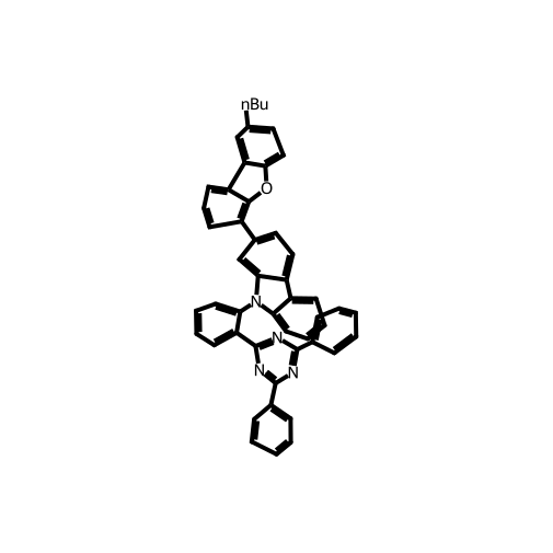 CCCCc1ccc2oc3c(-c4ccc5c6ccccc6n(-c6ccccc6-c6nc(-c7ccccc7)nc(-c7ccccc7)n6)c5c4)cccc3c2c1